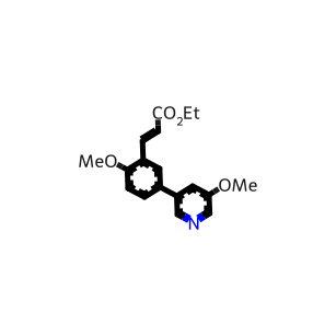 CCOC(=O)/C=C/c1cc(-c2cncc(OC)c2)ccc1OC